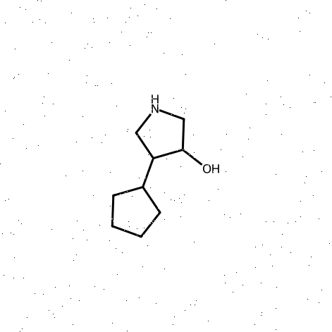 OC1CNCC1C1CCCC1